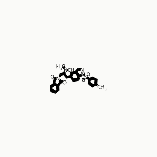 Cc1ccc(S(=O)(=O)n2ncc3cc(CC(CN4C(=O)c5ccccc5C4=O)N(C)C)ccc32)cc1